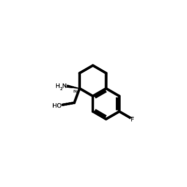 N[C@@]1(CO)CCCc2cc(F)ccc21